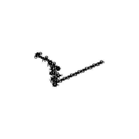 CC[C@H](C)[C@@H]([C@@H](CC(=O)N1CCC[C@H]1[C@H](OC)[C@@H](C)C(=O)N[C@@H](Cc1ccccc1)C(=O)Nc1ccc(CNC(=O)CCCCCN2C(=O)C=CC2=O)cc1)OC)N(C)C(=O)[C@@H](NC(=O)[C@@H]1CCC[C@@H](C)N1C(=O)CCOCCOCCOCCOCCOCCOCCOCCOCCOCCOCCOCCOC)C(C)C